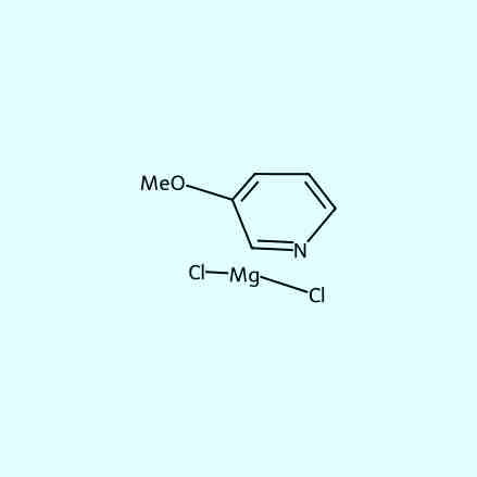 COc1cccnc1.[Cl][Mg][Cl]